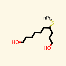 CCCSC(CCCO)CCCCCCO